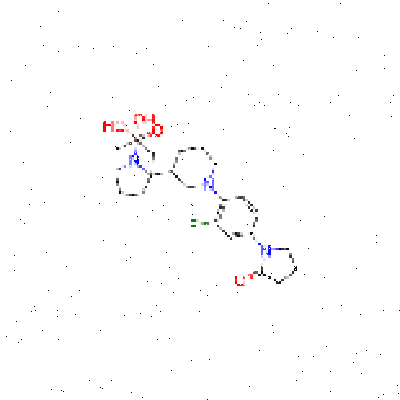 O=C1CCCN1c1ccc(N2CCCC(C34CCC(CC(O)C3)N4C(=O)O)C2)c(F)c1